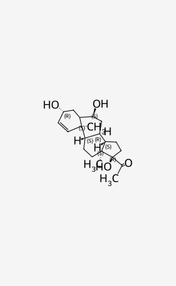 CC(=O)[C@@]1(O)CC[C@H]2[C@@H]3C[C@H](O)C4C[C@@H](O)C=C[C@]4(C)[C@H]3CC[C@@]21C